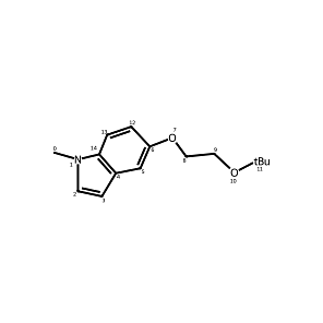 Cn1ccc2cc(OCCOC(C)(C)C)ccc21